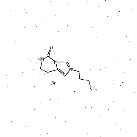 CCCC[n+]1cc2n(c1)C(=O)NCC2.[Br-]